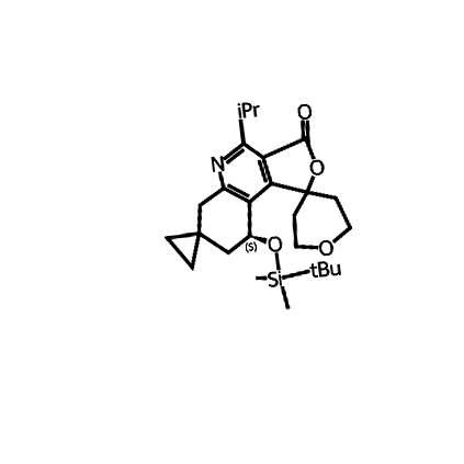 CC(C)c1nc2c(c3c1C(=O)OC31CCOCC1)[C@@H](O[Si](C)(C)C(C)(C)C)CC1(CC1)C2